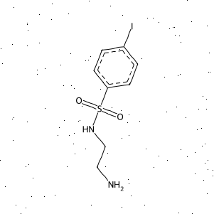 NCCNS(=O)(=O)c1ccc(I)cc1